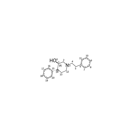 O[C@H]1CN(CCc2ccccc2)CC[C@@H]1c1ccccc1